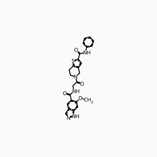 COc1cc2[nH]ncc2cc1C(=O)NCC(=O)N1CCc2sc(C(=O)Nc3ccccc3)cc2C1